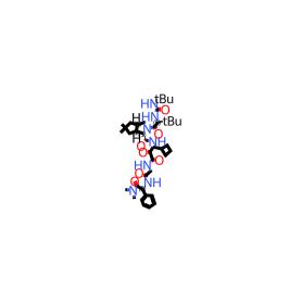 CN(C)C(=O)[C@@H](NC(=O)CNC(=O)C(=O)C(NC(=O)[C@@H]1[C@H]2CC(C)(C)C[C@H]2CN1C(=O)[C@@H](NC(=O)NC(C)(C)C)C(C)(C)C)C1CCC1)c1ccccc1